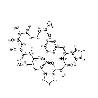 CC[C@H](C)[C@@H]([C@@H](CC(=O)N1CCC[C@H]1[C@H](OC)[C@@H](C)C(=O)N[C@@H](Cc1ccccc1)c1nccs1)OC)N(C)C(=O)[C@@H](NC(=O)[C@H](C(C)C)N(C)CCOC(N)=O)C(C)C